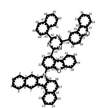 c1ccc2cc3c(cc2c1)c1c2ccccc2ccc1n3-c1ccc(-c2nc(-c3ccc4oc5ccccc5c4c3)nc(-c3cccc4ccccc34)n2)c2c1oc1ccccc12